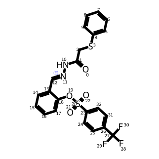 O=C(CSc1ccccc1)N/N=C/c1ccccc1OS(=O)(=O)c1ccc(C(F)(F)F)cc1